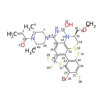 C=CC(=O)N1[C@H](C)CN(C2=NC(O)N3c4c2cc(C(F)(F)F)c(-c2cc(Br)c(F)cc2F)c4SC[C@@H]3COC)C[C@@H]1C